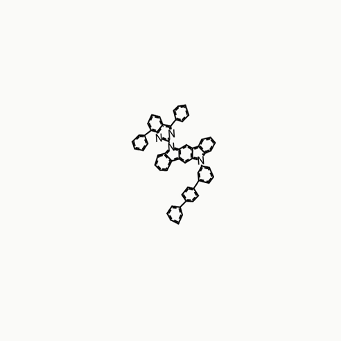 c1ccc(-c2ccc(-c3cccc(-n4c5ccccc5c5cc6c(cc54)c4ccccc4n6-c4nc(-c5ccccc5)c5cccc(-c6ccccc6)c5n4)c3)cc2)cc1